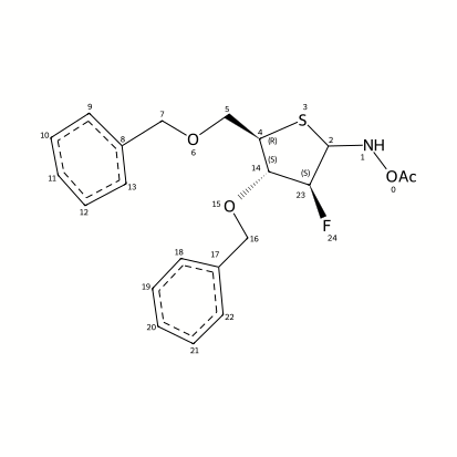 CC(=O)ONC1S[C@H](COCc2ccccc2)[C@@H](OCc2ccccc2)[C@@H]1F